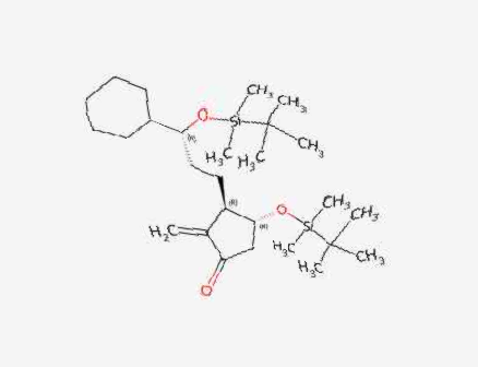 C=C1C(=O)C[C@@H](O[Si](C)(C)C(C)(C)C)[C@@H]1CC[C@@H](O[Si](C)(C)C(C)(C)C)C1CCCCC1